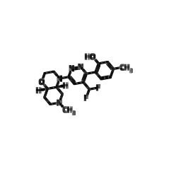 Cc1ccc(-c2nnc(N3CCO[C@H]4CCN(C)C[C@H]43)cc2C(F)F)c(O)c1